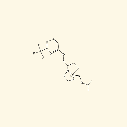 CC(C)OC[C@@]12CCCN1C(COc1cncc(C(F)(F)F)n1)CC2